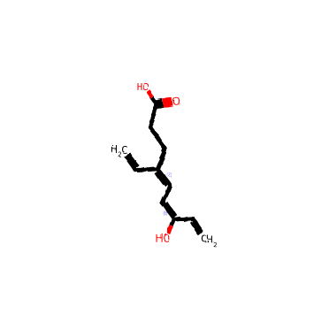 C=C/C(=C\C=C(\O)C=C)CCC(=O)O